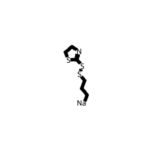 [Na][CH2]CCSSC1=NCCS1